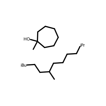 CC1(O)CCCCCC1.CCC(C)CCC(C)CCCCC(C)C